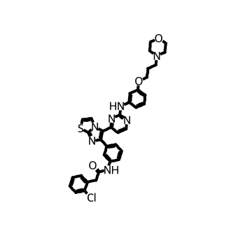 O=C(Cc1ccccc1Cl)Nc1cccc(-c2nc3sccn3c2-c2ccnc(Nc3cccc(OCCCN4CCOCC4)c3)n2)c1